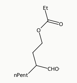 CCCCCC([C]=O)CCOC(=O)CC